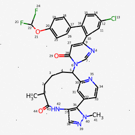 CC1CCCC(n2cnc(-c3cc(Cl)ccc3-c3ccc(OC(F)F)cc3)cc2=O)c2cc(ccn2)-c2c(cnn2C)NC1=O